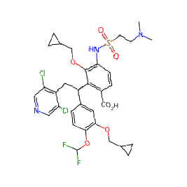 CN(C)CCS(=O)(=O)Nc1ccc(C(=O)O)c(C(Cc2c(Cl)cncc2Cl)c2ccc(OC(F)F)c(OCC3CC3)c2)c1OCC1CC1